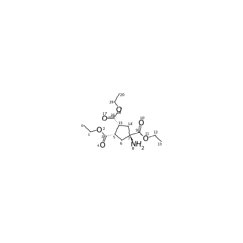 CCOC(=O)[C@H]1C[C@@](N)(C(=O)OCC)C[C@H]1C(=O)OCC